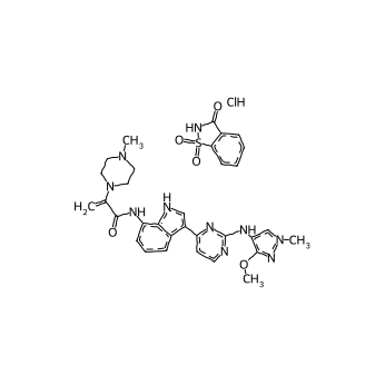 C=C(C(=O)Nc1cccc2c(-c3ccnc(Nc4cn(C)nc4OC)n3)c[nH]c12)N1CCN(C)CC1.Cl.O=C1NS(=O)(=O)c2ccccc21